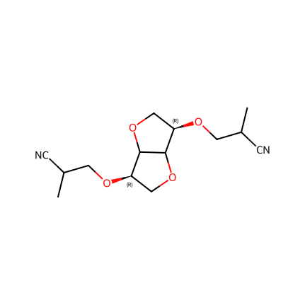 CC(C#N)CO[C@@H]1COC2C1OC[C@H]2OCC(C)C#N